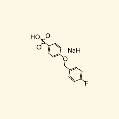 O=S(=O)(O)c1ccc(OCc2ccc(F)cc2)cc1.[NaH]